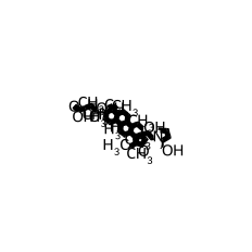 CC(C)C1=C2[C@@]([C@H](O)CN3CCC[C@H]3CO)(CC[C@]3(C)[C@]2(C)CC[C@@H]2[C@@]4(C)CC[C@H](OC(=O)CC(C)(C)C(=O)O)C(C)(C)[C@@H]4CC[C@]23C)CC1=O